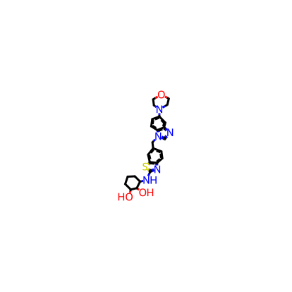 OC1CCCC(Nc2nc3ccc(Cn4cnc5cc(N6CCOCC6)ccc54)cc3s2)C1O